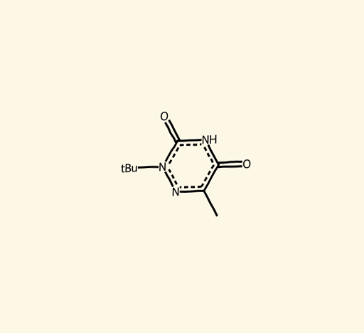 Cc1nn(C(C)(C)C)c(=O)[nH]c1=O